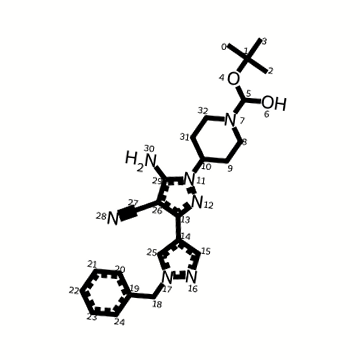 CC(C)(C)OC(O)N1CCC(n2nc(-c3cnn(Cc4ccccc4)c3)c(C#N)c2N)CC1